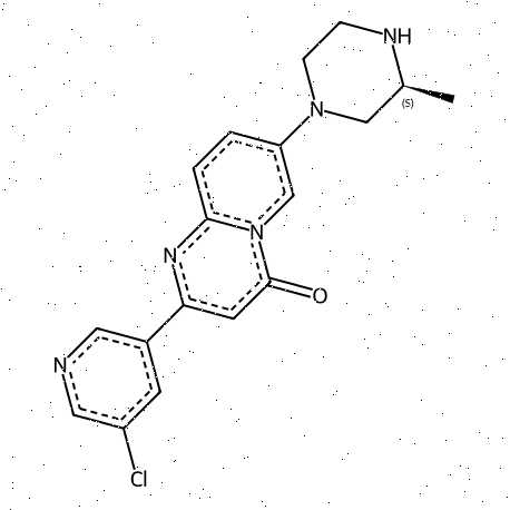 C[C@H]1CN(c2ccc3nc(-c4cncc(Cl)c4)cc(=O)n3c2)CCN1